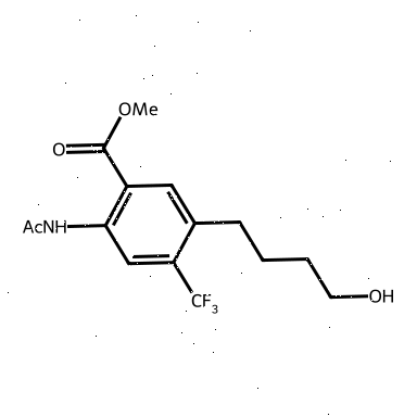 COC(=O)c1cc(CCCCO)c(C(F)(F)F)cc1NC(C)=O